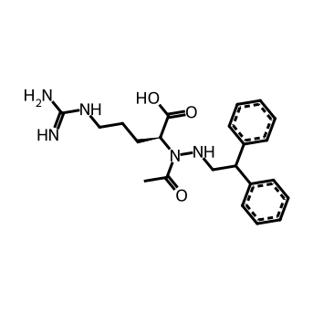 CC(=O)N(NCC(c1ccccc1)c1ccccc1)[C@@H](CCCNC(=N)N)C(=O)O